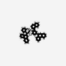 C=C1C(n2c3ccc(-c4cc5ccccc5c5ccccc45)cc3c3c4ccccc4ccc32)=Nc2ccccc2C1c1cc2ccccc2c2ccccc12